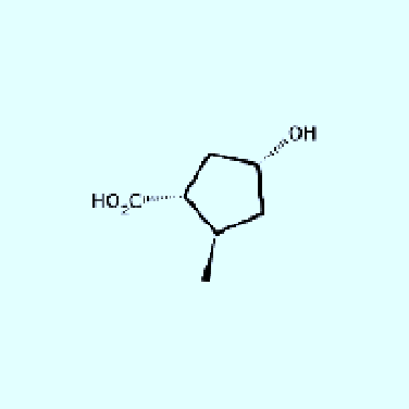 C[C@@H]1C[C@@H](O)C[C@H]1C(=O)O